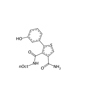 CCCCCCCCNC(=O)c1c(C(N)=O)csc1-c1cccc(O)c1